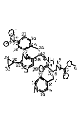 COC(=O)N(C)[C@@H](Cc1ccncc1)C(=O)N[C@@H](Cc1ccc([N+](=O)[O-])cc1)c1csc(C2CC2)n1